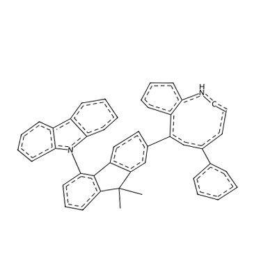 CC1(C)c2cc(-c3cc(-c4ccccc4)ccc[nH]c4ccccc34)ccc2-c2c(-n3c4ccccc4c4ccccc43)cccc21